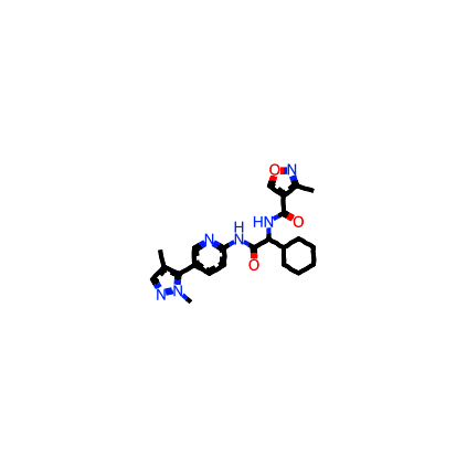 Cc1cnn(C)c1-c1ccc(NC(=O)C(NC(=O)c2conc2C)C2CCCCC2)nc1